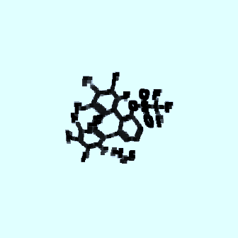 O=S(=O)(Oc1cccc(-c2c(F)c(F)c(F)c(F)c2F)c1-c1c(F)c(F)c(F)c(F)c1F)C(F)(F)F.S